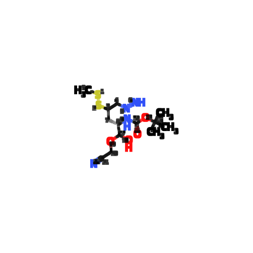 CSSC(CN=N)C[C@H](NC(=O)OC(C)(C)C)C(O)OCC#N